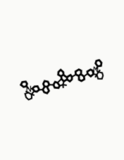 CC1(C)c2ccc(-c3cccc4c(-c5ccc6c(c5)C5(C)CCCCC5(C)N6c5ccccc5)cccc34)cc2-c2c1c1ccc(-c3cccc4c(-c5ccc6c(c5)C5(C)CCCCC5(C)N6c5ccccc5)cccc34)cc1c1ccccc21